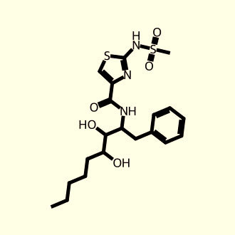 CCCCCC(O)C(O)C(Cc1ccccc1)NC(=O)c1csc(NS(C)(=O)=O)n1